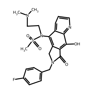 CN(C)CCN(c1c2c(c(O)c3ncccc13)C(=O)N(Cc1ccc(F)cc1)C2)S(C)(=O)=O